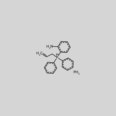 C=CC[PH](c1ccccc1)(c1ccccc1)c1ccccc1N.P